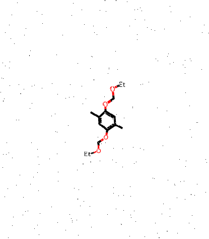 CCOCOc1cc(C)c(OCOCC)cc1C